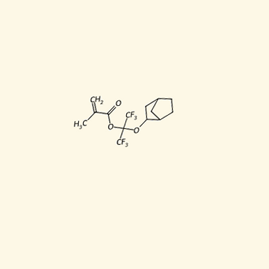 C=C(C)C(=O)OC(OC1CC2CCC1C2)(C(F)(F)F)C(F)(F)F